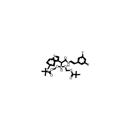 CC(C)(C)C(=O)OCOP(=O)(OCOC(=O)C(C)(C)C)C(C(=O)NC=Cc1cc(F)cc(F)c1)c1csc2ccc(Cl)cc12